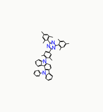 Cc1cc(C)c(-c2nc(-c3cc(C)c(-n4c5ccccc5c5c4ccc4c6ccccc6n(-c6ccccc6)c45)c(C)c3)nc(-c3c(C)cc(C)cc3C)n2)c(C)c1